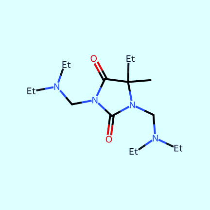 CCN(CC)CN1C(=O)N(CN(CC)CC)C(C)(CC)C1=O